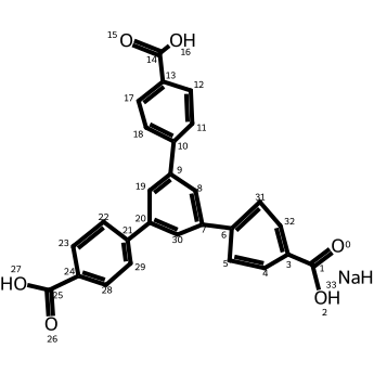 O=C(O)c1ccc(-c2cc(-c3ccc(C(=O)O)cc3)cc(-c3ccc(C(=O)O)cc3)c2)cc1.[NaH]